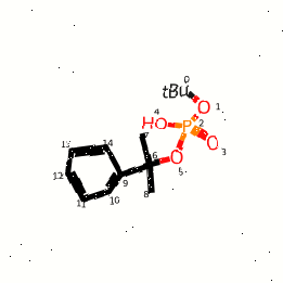 CC(C)(C)OP(=O)(O)OC(C)(C)c1ccccc1